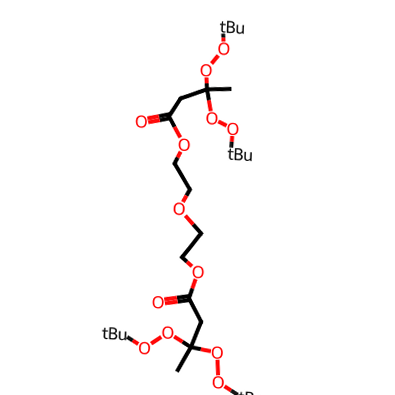 CC(C)(C)OOC(C)(CC(=O)OCCOCCOC(=O)CC(C)(OOC(C)(C)C)OOC(C)(C)C)OOC(C)(C)C